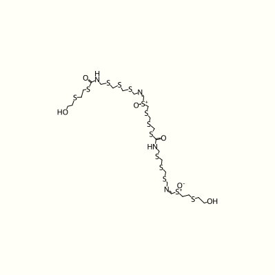 O=C(NCSCSCSC/N=C\[S+]([O-])CSCSCSC(=O)NCSCSCSC/N=C\[S+]([O-])CCSCCO)SCCSCCO